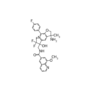 COc1cc(C(=O)NCC(O)(c2cc3c(c(-c4ccc(F)cc4)n2)OCC3(C)N)C(F)(F)F)cc2cccnc12